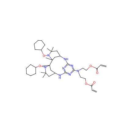 C=CC(=O)OCCN(CCOC(=O)C=C)c1nc2nc(n1)NC1CC(C)(C)N(OC3CCCCC3)C(C)(C1)C1(C)CC(CC(C)(C)N1OC1CCCCC1)N2